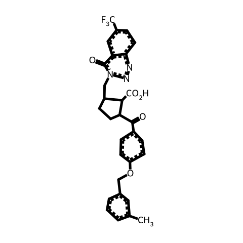 Cc1cccc(COc2ccc(C(=O)C3CCC(Cn4nnc5ccc(C(F)(F)F)cc5c4=O)C3C(=O)O)cc2)c1